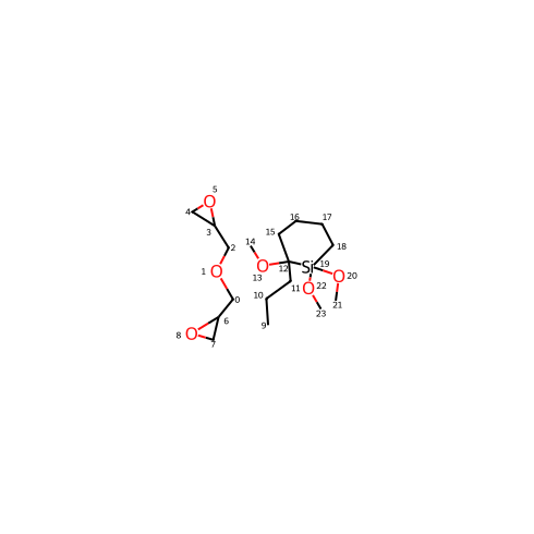 C(OCC1CO1)C1CO1.CCCC1(OC)CCCC[Si]1(OC)OC